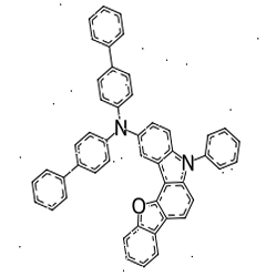 c1ccc(-c2ccc(N(c3ccc(-c4ccccc4)cc3)c3ccc4c(c3)c3c5oc6ccccc6c5ccc3n4-c3ccccc3)cc2)cc1